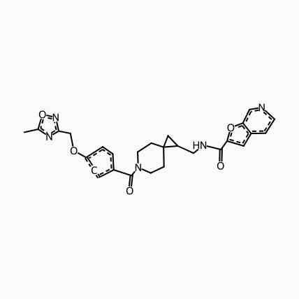 Cc1nc(COc2ccc(C(=O)N3CCC4(CC3)CC4CNC(=O)c3cc4ccncc4o3)cc2)no1